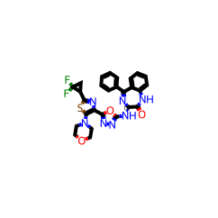 O=C1Nc2ccccc2C(c2ccccc2)=N[C@@H]1Nc1nnc(-c2nc(C3CC3(F)F)sc2N2CCOCC2)o1